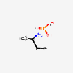 CC(C)CC(N)C(=O)O.O=[PH](O)O